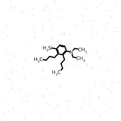 CCCCc1c([SiH3])ccc(N(CC)CC)c1CCCC